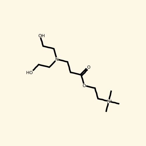 C[N+](C)(C)CCOC(=O)CCN(CCO)CCO